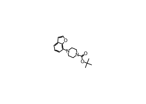 CC(C)(C)OC(=O)N1CCN(c2cccc3ccoc23)CC1